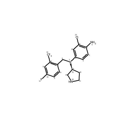 Nc1ccc(N(Cc2ccc(F)cc2C(F)(F)F)[C@H]2CCNC2)cc1Cl